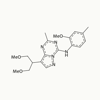 COCC(COC)c1cnn2c(Nc3ccc(C)cc3OC)nc(C)nc12